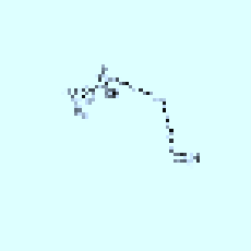 CC1(C)OCC(C2OC(=O)C(CCCCCCCC/C=C\CCCCCCCC(=O)O)=C2O)O1